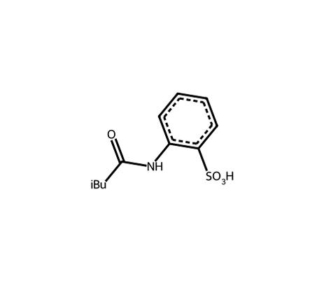 CCC(C)C(=O)Nc1ccccc1S(=O)(=O)O